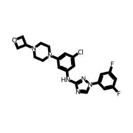 Fc1cc(F)cc(-n2cnc(Nc3cc(Cl)cc(N4CCN(C5COC5)CC4)c3)n2)c1